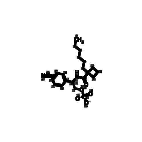 CCCCCCC1(C(=O)N[C@@H](COP(=O)([O-])[O-])c2ccccc2)CCC1.[Na+].[Na+]